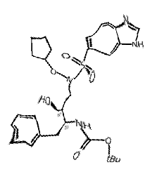 CC(C)(C)OC(=O)N[C@@H](Cc1ccccc1)[C@@H](O)CN(OC1CCCC1)S(=O)(=O)c1ccc2nc[nH]c2c1